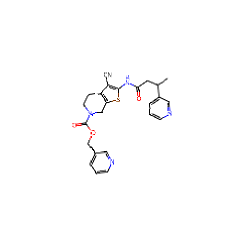 CC(CC(=O)Nc1sc2c(c1C#N)CCN(C(=O)OCc1cccnc1)C2)c1cccnc1